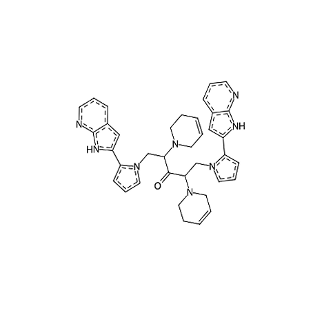 O=C(C(Cn1cccc1-c1cc2cccnc2[nH]1)N1CC=CCC1)C(Cn1cccc1-c1cc2cccnc2[nH]1)N1CC=CCC1